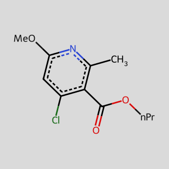 CCCOC(=O)c1c(Cl)cc(OC)nc1C